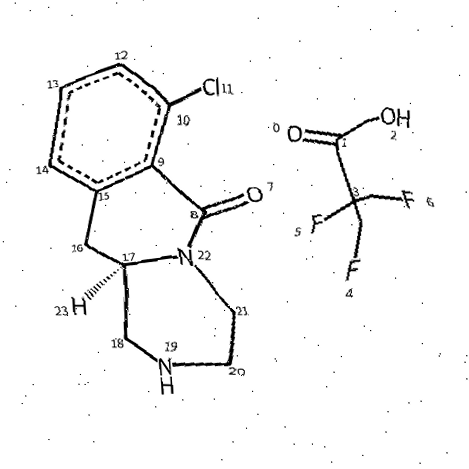 O=C(O)C(F)(F)F.O=C1c2c(Cl)cccc2C[C@@H]2CNCCN12